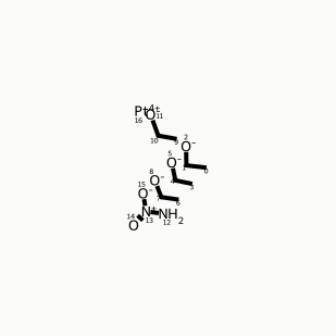 CC[O-].CC[O-].CC[O-].CC[O-].N[N+](=O)[O-].[Pt+4]